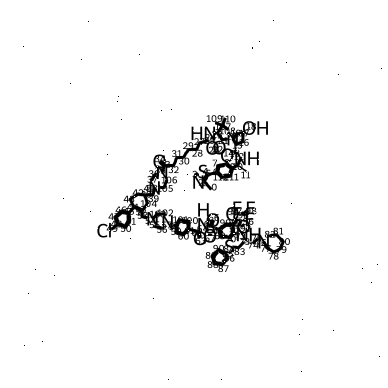 Cc1ncsc1-c1ccc([C@H](C)NC(=O)[C@@H]2C[C@@H](O)CN2C(=O)[C@@H](NC(=O)CCCCCCC(=O)N2CCN(C[C@]3(C)CCC(c4ccc(Cl)cc4)=C(CN4CCN(c5ccc(C(=O)NS(=O)(=O)c6ccc(N[C@H](CCN7CCCCCC7)CSc7ccccc7)c(S(=O)(=O)C(F)(F)F)c6)cc5)CC4)C3)CC2)C(C)(C)C)cc1